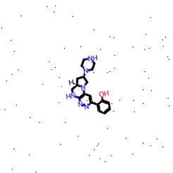 Oc1ccccc1-c1cc2c(nn1)NC[C@H]1CC(N3CCNCC3)CN21